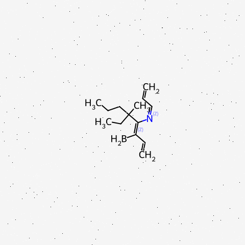 B/C(C=C)=C(/N=C\C=C)C(C)(CC)CCC